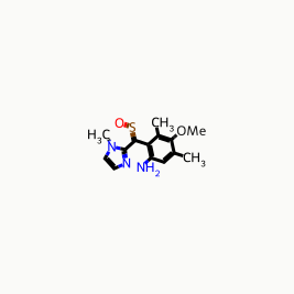 COc1c(C)cc(N)c(C(=S=O)c2nccn2C)c1C